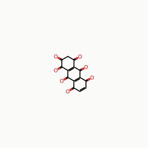 O=C1CC(=O)c2c(c(=O)c3c(=O)ccc(=O)c=3c2=O)C1=O